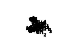 C=CC1CC1(NC(=O)[C@@H]1C[C@@H](NC(=O)c2nccc3ccccc23)CN1C(=O)[C@@H](NC(=O)CC1CC1)C(C)(C)C)C(=O)NS(=O)(=O)C1CC1